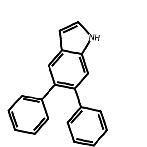 c1ccc(-c2cc3cc[nH]c3cc2-c2ccccc2)cc1